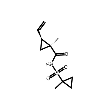 C=C[C@@H]1C[C@]1(C)C(=O)NS(=O)(=O)C1(C)CC1